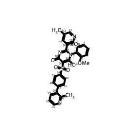 COc1cccc(OC)c1-n1c(-c2cncc(C)c2)nc(=O)c(S(=O)(=O)c2ccc(-c3cccnc3C)cc2)c1O